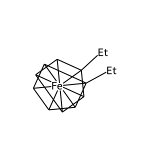 CC[C]12[CH]3[CH]4[CH]5[CH]1[Fe]45321678[CH]2[CH]1[CH]6[C]7(CC)[CH]28